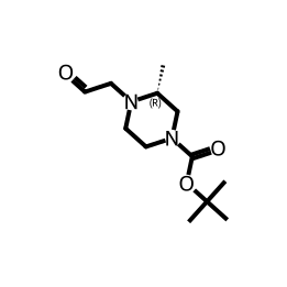 C[C@@H]1CN(C(=O)OC(C)(C)C)CCN1CC=O